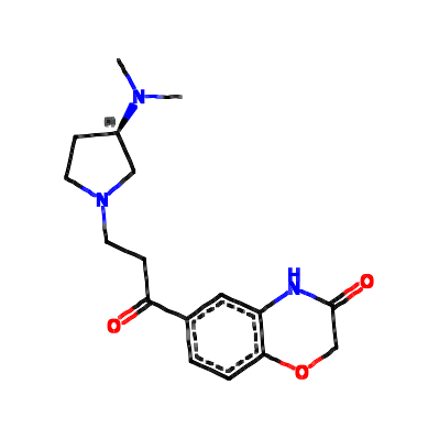 CN(C)[C@@H]1CCN(CCC(=O)c2ccc3c(c2)NC(=O)CO3)C1